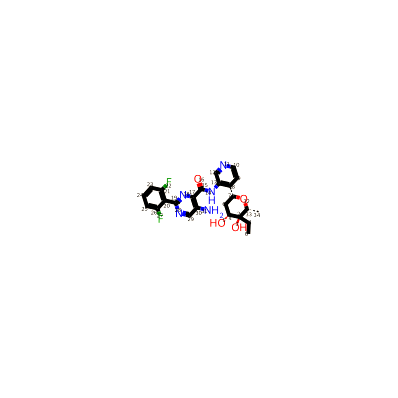 CC[C@]1(O)[C@H](O)C[C@H](c2ccncc2NC(=O)c2nc(-c3c(F)cccc3F)ncc2N)O[C@@H]1C